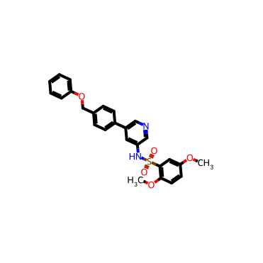 COc1ccc(OC)c(S(=O)(=O)Nc2cncc(-c3ccc(COc4ccccc4)cc3)c2)c1